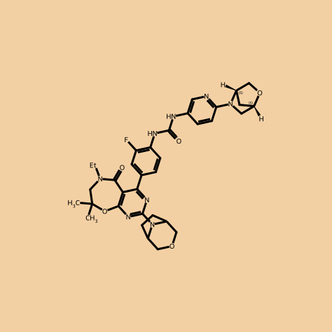 CCN1CC(C)(C)Oc2nc(N3C4CCC3COC4)nc(-c3ccc(NC(=O)Nc4ccc(N5C[C@@H]6C[C@H]5CO6)nc4)c(F)c3)c2C1=O